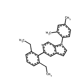 CCc1cccc(CC)c1-c1cc2ccn(-c3ccc(C)cc3C)c2cn1